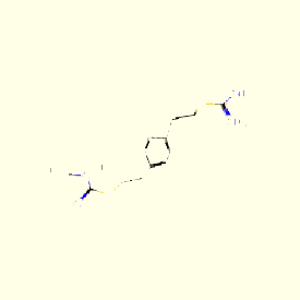 CN(C)C(=N)SCCc1ccc(CCSC(=N)N)cc1